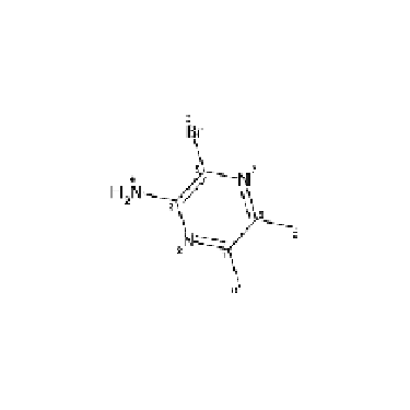 Cc1nc(N)c(Br)nc1C